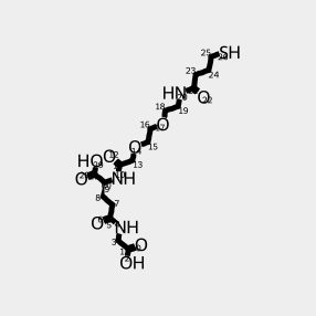 O=C(O)CNC(=O)CC[C@H](NC(=O)COCCOCCNC(=O)CCCS)C(=O)O